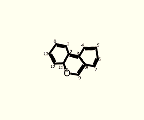 C1=CC2=c3ccccc3=COC2C=C1